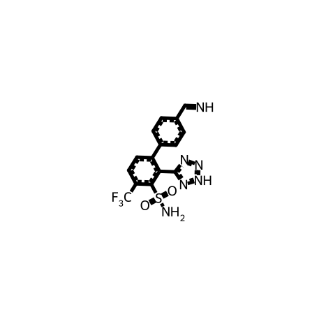 N=Cc1ccc(-c2ccc(C(F)(F)F)c(S(N)(=O)=O)c2-c2nn[nH]n2)cc1